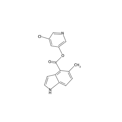 Cc1ccc2[nH]ccc2c1C(=O)Oc1cncc(Cl)c1